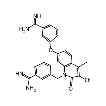 CCc1c(C)c2ccc(Oc3cccc(C(=N)N)c3)cc2n(Cc2cccc(C(=N)N)c2)c1=O